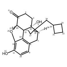 O=C1CC[C@@]2(O)[C@H]3Cc4ccc(O)c5c4[C@@]2(CCC3CC2CCC2)[C@H]1O5